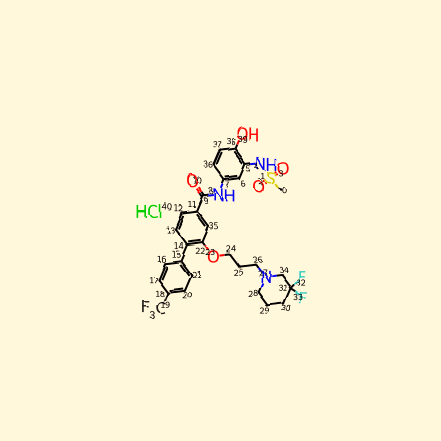 CS(=O)(=O)Nc1cc(NC(=O)c2ccc(-c3ccc(C(F)(F)F)cc3)c(OCCCN3CCCC(F)(F)C3)c2)ccc1O.Cl